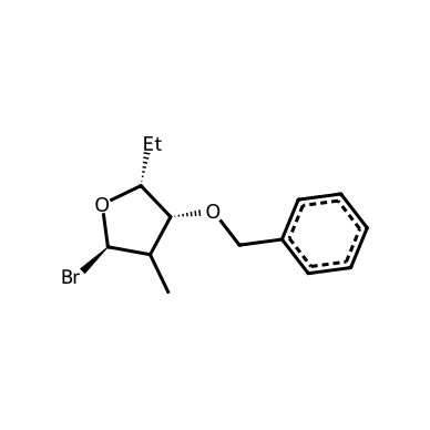 CC[C@H]1O[C@H](Br)C(C)[C@H]1OCc1ccccc1